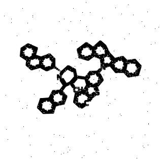 CC1=C(c2cc(-n3c4cc5ccccc5cc4c4ccc5ccccc5c43)cc3sc4ccccc4c23)C=C[C@@H](c2ccc3c(ccc4ccccc43)c2)N=C1c1ccc2ccccc2c1